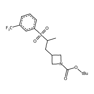 CC(CC1CN(C(=O)OC(C)(C)C)C1)S(=O)(=O)c1cccc(C(F)(F)F)c1